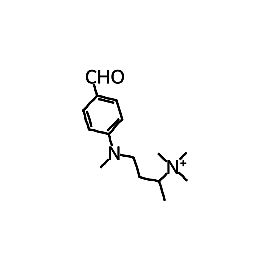 CC(CCN(C)c1ccc(C=O)cc1)[N+](C)(C)C